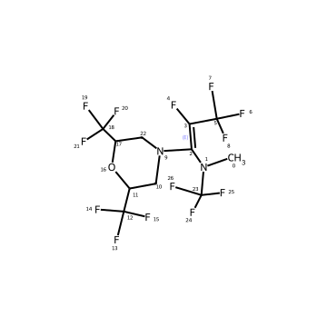 CN(/C(=C(/F)C(F)(F)F)N1CC(C(F)(F)F)OC(C(F)(F)F)C1)C(F)(F)F